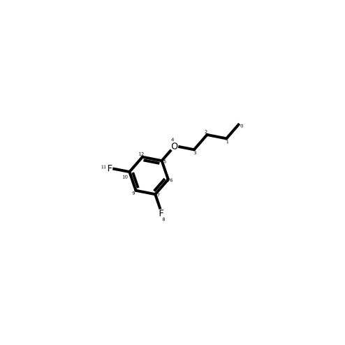 CCCCOc1[c]c(F)cc(F)c1